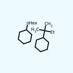 CCC(C)(C)C1CCCCC1.CCCCCCC1CCCCC1